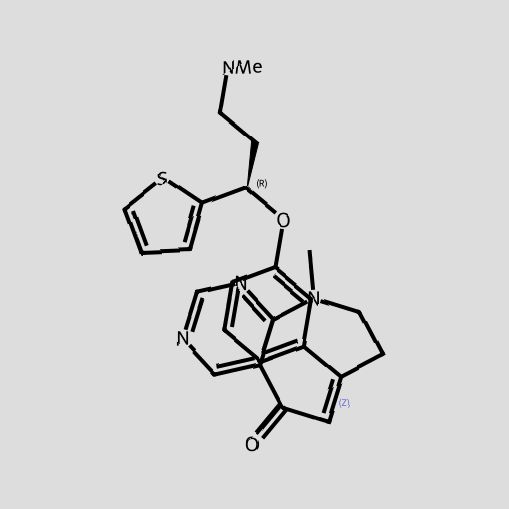 CNCC[C@@H](Oc1cccc(/C2=C\C(=O)c3cncnc3N(C)CC2)c1)c1cccs1